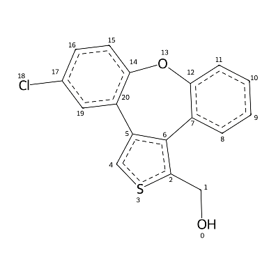 OCc1scc2c1-c1ccccc1Oc1ccc(Cl)cc1-2